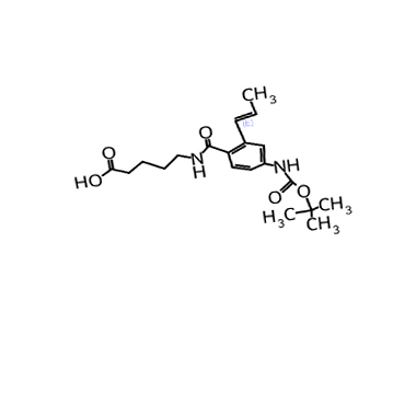 C/C=C/c1cc(NC(=O)OC(C)(C)C)ccc1C(=O)NCCCCC(=O)O